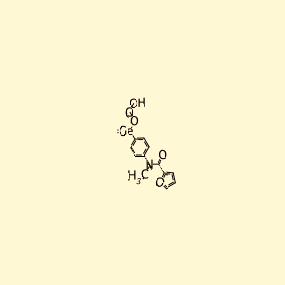 CN(C(=O)c1ccco1)c1cc[c]([Ge][O]OO)cc1